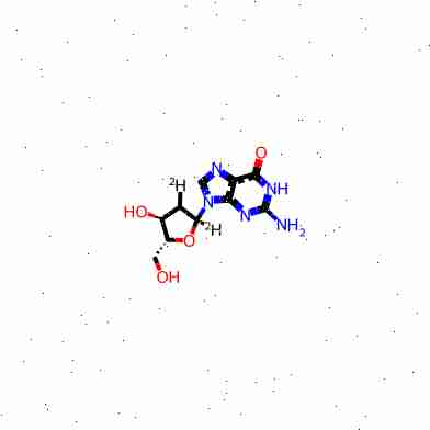 [2H]C1[C@H](O)[C@@H](CO)O[C@@]1([2H])n1cnc2c(=O)[nH]c(N)nc21